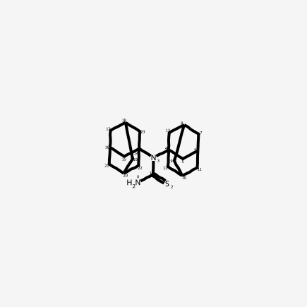 NC(=S)N(C12CC3CC(CC(C3)C1)C2)C12CC3CC(CC(C3)C1)C2